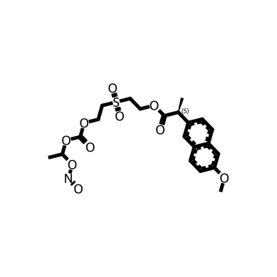 COc1ccc2cc([C@H](C)C(=O)OCCS(=O)(=O)CCOC(=O)OC(C)ON=O)ccc2c1